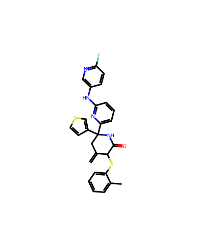 C=C1CC(c2ccsc2)(c2cccc(Nc3ccc(F)nc3)n2)NC(=O)C1Sc1ccccc1C